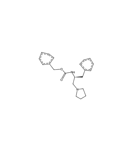 O=C(N[C@@H](Cc1ccccc1)CN1CCCC1)OCc1ccccc1